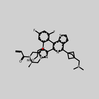 C=CC(=O)N1Cc2cc(-c3nc(C45CC(CN(C)C)(C4)C5)c4ccsc4c3-c3c(F)cc(F)cc3OCCOC)nn2C[C@H]1C